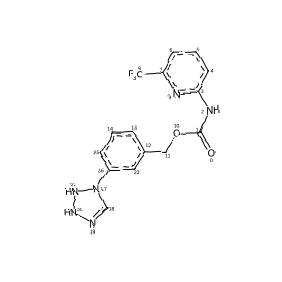 O=C(Nc1cccc(C(F)(F)F)n1)OCc1cccc(N2C=NNN2)c1